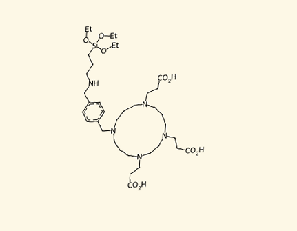 CCO[Si](CCCNCc1ccc(CN2CCCN(CCC(=O)O)CCCN(CCC(=O)O)CCN(CCC(=O)O)CCC2)cc1)(OCC)OCC